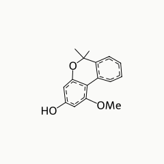 COc1cc(O)cc2c1-c1ccccc1C(C)(C)O2